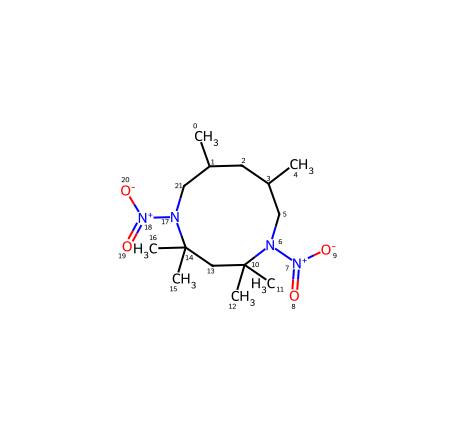 CC1CC(C)CN([N+](=O)[O-])C(C)(C)CC(C)(C)N([N+](=O)[O-])C1